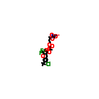 CC(CCOC(=O)OC(C)OC(=O)C1=Cc2cc(Cl)c(C(C)(C)C)cc2OC1C(F)(F)F)O[N+](=O)[O-]